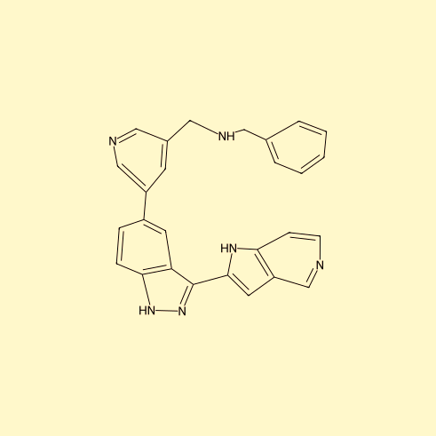 c1ccc(CNCc2cncc(-c3ccc4[nH]nc(-c5cc6cnccc6[nH]5)c4c3)c2)cc1